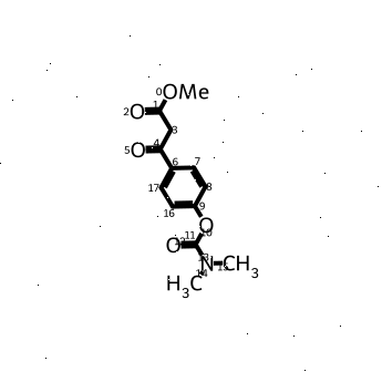 COC(=O)CC(=O)c1ccc(OC(=O)N(C)C)cc1